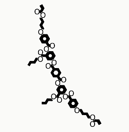 C=CC(=O)OCCCCOc1ccc(C(=O)Oc2ccc(OC(=O)C3CCC(C(=O)Oc4ccc(OC(=O)c5ccc(OCCCCOC(=O)C=C)cc5)c(C(=O)OCCCC)c4)CC3)cc2C(=O)OCCCC)cc1